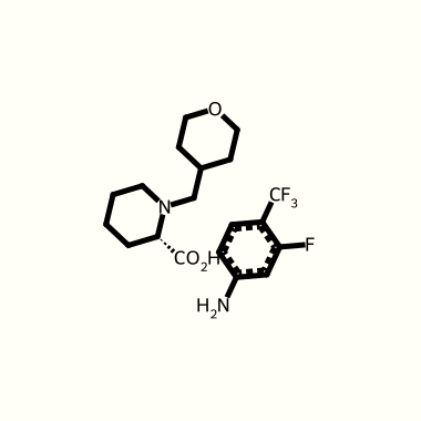 Nc1ccc(C(F)(F)F)c(F)c1.O=C(O)[C@@H]1CCCCN1CC1CCOCC1